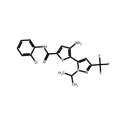 CC(C)n1nc(C(F)(F)F)cc1-c1sc(C(=O)Nc2ccccc2Cl)cc1N